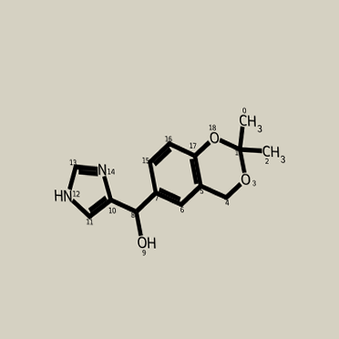 CC1(C)OCc2cc(C(O)c3c[nH]cn3)ccc2O1